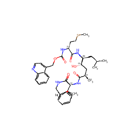 CSCC[C@H](NC(=O)OCc1ccnc2ccccc12)C(=O)N[C@@H](CC(C)C)[C@@H](O)C[C@@H](C)C(=O)N[C@H](C(=O)NCc1ccccc1)C(C)C